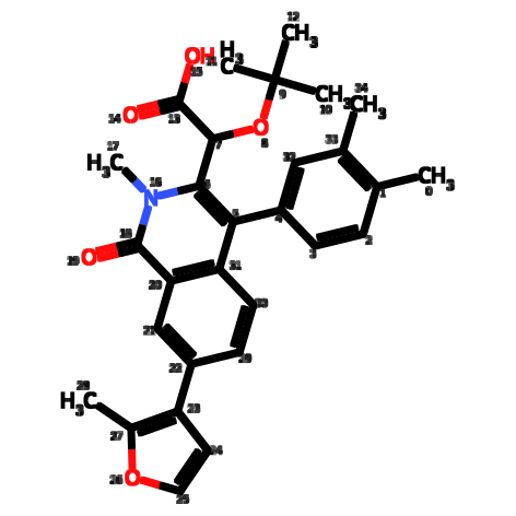 Cc1ccc(-c2c(C(OC(C)(C)C)C(=O)O)n(C)c(=O)c3cc(-c4ccoc4C)ccc23)cc1C